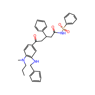 CCCN(C)c1ccc(C(=O)CC(CC(=O)NS(=O)(=O)c2ccccc2)c2ccccc2)cc1NCc1ccccc1